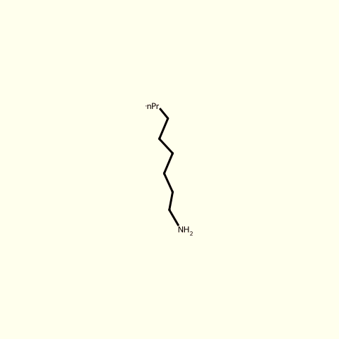 CC[CH]CCCCCCN